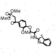 COc1cc(C(=O)CP(=O)(OC)OC)ccc1OCC(=O)Nc1nc2ccccc2s1